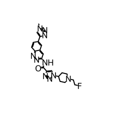 Cn1cc(-c2ccc3nnc(NC(=O)c4cn(C5CCN(CCF)CC5)nn4)cc3c2)nn1